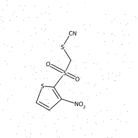 N#CSCS(=O)(=O)c1sccc1[N+](=O)[O-]